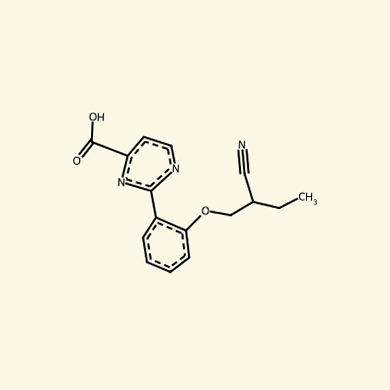 CCC(C#N)COc1ccccc1-c1nccc(C(=O)O)n1